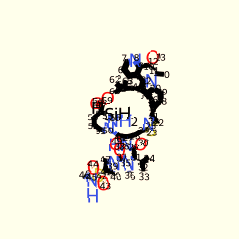 CCn1c(-c2cccnc2[C@H](C)OC)c2c3cc(ccc31)-c1csc(n1)C[C@H](NC(=O)[C@H](C(C)C)N(C)C(=O)N1CC(S(=O)(=O)NC)C1)C(=O)N1CCC[C@H]([SiH2]N1)C(=O)OCC(C)(C)C2